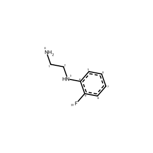 NCCNc1ccccc1F